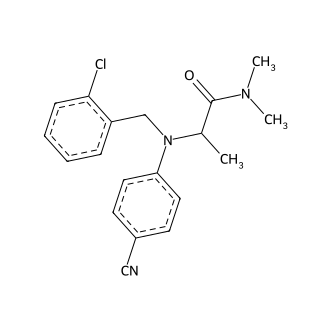 CC(C(=O)N(C)C)N(Cc1ccccc1Cl)c1ccc(C#N)cc1